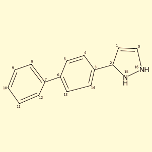 C1=CC(c2ccc(-c3ccccc3)cc2)NN1